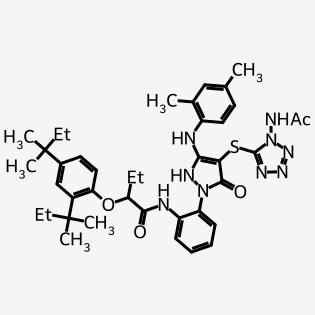 CCC(Oc1ccc(C(C)(C)CC)cc1C(C)(C)CC)C(=O)Nc1ccccc1-n1[nH]c(Nc2ccc(C)cc2C)c(Sc2nnnn2NC(C)=O)c1=O